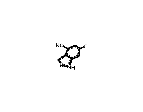 N#Cc1cc(F)cc2[nH]ncc12